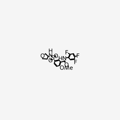 COc1ccc(S(=O)(=O)NC2CCOC2)cc1C(=O)Nc1cc(F)c(F)cc1F